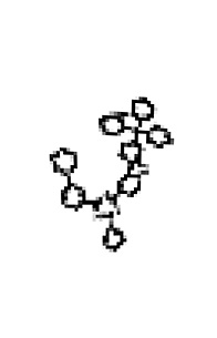 c1ccc(-c2cccc(-c3nc(-c4ccccc4)nc(-c4ccc5oc6cc(C7(c8ccccc8)c8ccccc8-c8ccccc87)ccc6c5c4)n3)c2)cc1